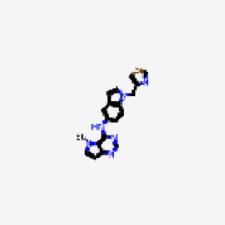 [CH2]Cn1ccc2ncnc(Nc3ccc4c(ccn4Cc4cscn4)c3)c21